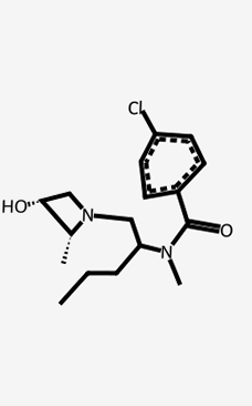 CCCC(CN1C[C@@H](O)[C@H]1C)N(C)C(=O)c1ccc(Cl)cc1